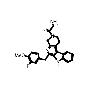 COc1ccc(Cc2nc3c(c4c2[nH]c2ccccc24)CCN(C(=O)CN)C3)cc1F